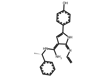 C=C/N=C1/NC(c2ccc(O)cc2)=C/C1=C(/N)N[C@@H](C)c1ccccc1